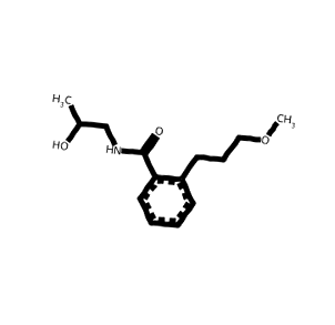 COCCCc1ccccc1C(=O)NCC(C)O